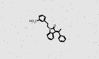 CC(=C1C(=O)N(CCc2cccc(C(=O)O)c2)c2ccccc21)c1ccccc1